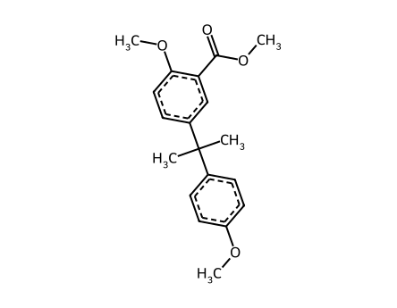 COC(=O)c1cc(C(C)(C)c2ccc(OC)cc2)ccc1OC